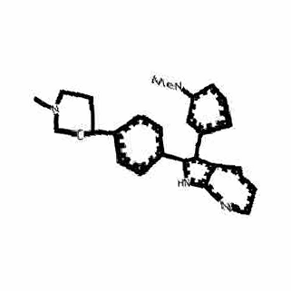 CNc1cccc(-c2c(-c3ccc(C4CCN(C)CC4)cc3)[nH]c3ncccc23)c1